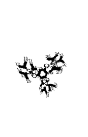 CC(C)[Si](Oc1cc(O[Si](C(C)C)(C(C)C)C(C)C)cc(O[Si](C(C)C)(C(C)C)C(C)C)c1)(C(C)C)C(C)C